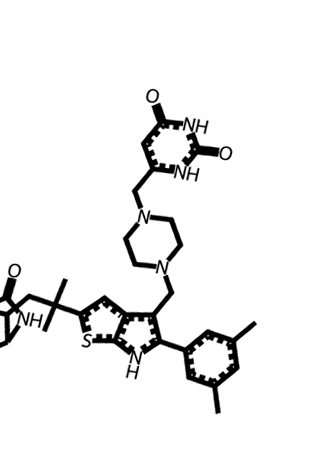 Cc1cc(C)cc(-c2[nH]c3sc(C(C)(C)CC4C5CCC4C(=O)N5)cc3c2CN2CCN(Cc3cc(=O)[nH]c(=O)[nH]3)CC2)c1